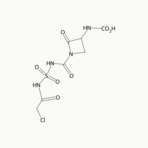 O=C(O)NC1CN(C(=O)NS(=O)(=O)NC(=O)CCl)C1=O